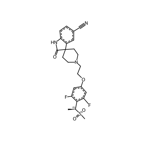 C[C@@H](c1c(F)cc(OCCN2CCC3(CC2)C(=O)Nc2ccc(C#N)cc23)cc1F)S(C)(=O)=O